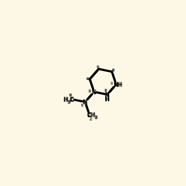 CN(C)N1CCCNN1